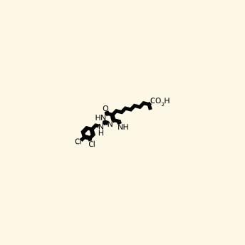 CC(CCCCCCCc1c(C=N)nc(NCc2ccc(Cl)c(Cl)c2)[nH]c1=O)C(=O)O